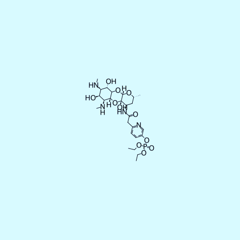 CCOP(=O)(OCC)Oc1ccc(CC(=O)N[C@@H]2C[C@@H](C)O[C@H]3OC4[C@@H](O)[C@H](NC)[C@H](O)[C@H](NC)[C@H]4O[C@]32O)nc1